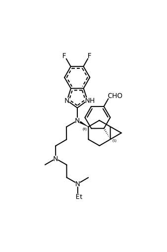 CCN(C)CCN(C)CCCN(c1nc2cc(F)c(F)cc2[nH]1)[C@@H]1CC[C@]2(C3C=C(C=O)C=CC3)CC2C1